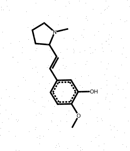 COc1ccc(/C=C/C2CCCN2C)cc1O